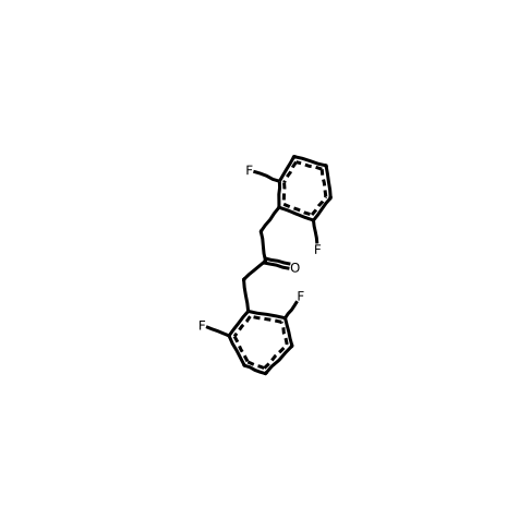 O=C(Cc1c(F)cccc1F)Cc1c(F)cccc1F